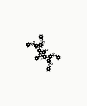 [C-]#[N+]c1cccc(-c2cc(-n3c4ccc(C(=O)OCc5ccccc5)cc4c4cc(C(=O)OCc5ccccc5)ccc43)ccc2-c2nc(-c3ccccc3)nc(-c3ccc(-n4c5ccc(C(=O)OCc6ccccc6)cc5c5cc(C(=O)OCc6ccccc6)ccc54)cc3C(F)(F)F)n2)c1